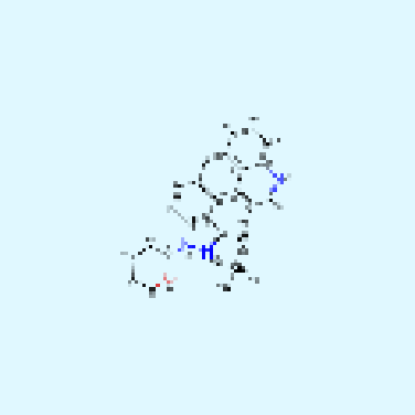 Cc1ccc2c(cnn2C2CCCCO2)c1-c1c(C#C[Si](C)(C)C)cnc2ccccc12